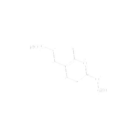 CCCCOC1CCC(CCC(=O)O)=C(C)O1